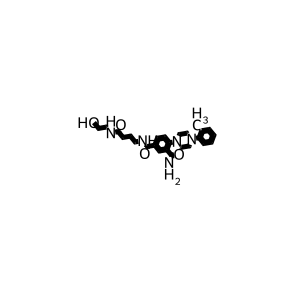 Cc1ccccc1N1CCN(c2ccc(C(=O)NCCCC(=O)NCCO)cc2C(N)=O)CC1